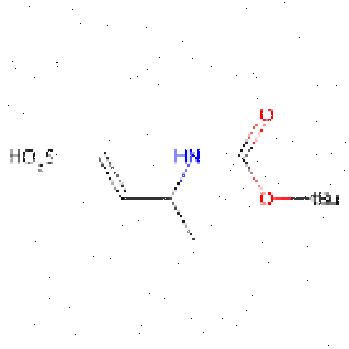 CC(C=CS(=O)(=O)O)NC(=O)OC(C)(C)C